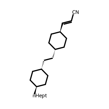 CCCCCCC[C@H]1CC[C@H](CC[C@H]2CC[C@H](/C=C/C#N)CC2)CC1